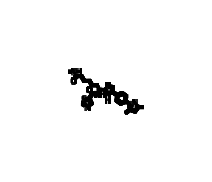 CNC(=O)CCCCC[C@H](NC(=O)c1cncs1)c1ncc(-c2ccc(-n3nc(C)cc3C)cc2)[nH]1